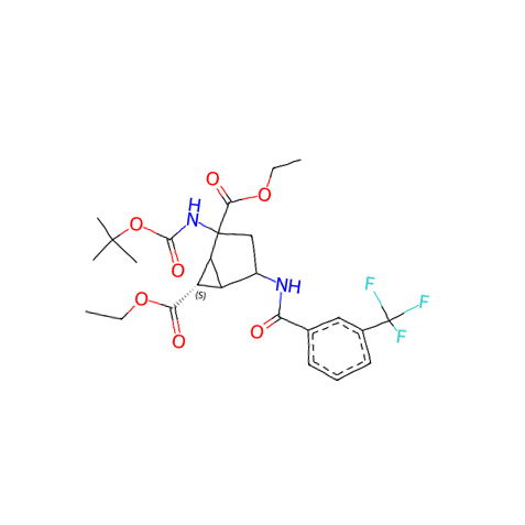 CCOC(=O)[C@H]1C2C(NC(=O)c3cccc(C(F)(F)F)c3)CC(NC(=O)OC(C)(C)C)(C(=O)OCC)C21